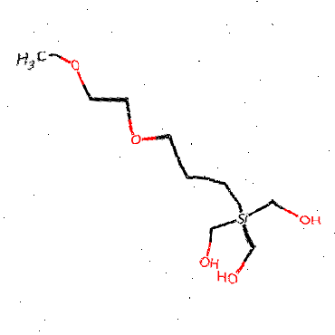 COCCOCCC[Si](CO)(CO)CO